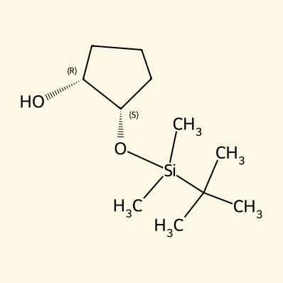 CC(C)(C)[Si](C)(C)O[C@H]1CCC[C@H]1O